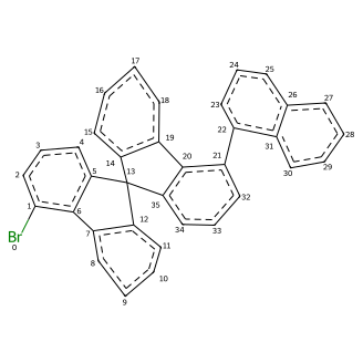 Brc1cccc2c1-c1ccccc1C21c2ccccc2-c2c(-c3cccc4ccccc34)cccc21